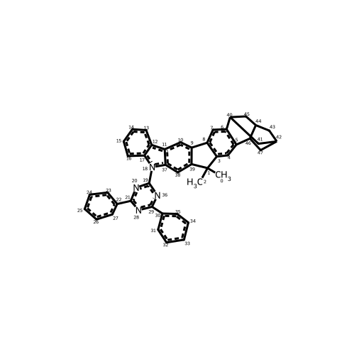 CC1(C)c2cc3c(cc2-c2cc4c5ccccc5n(-c5nc(-c6ccccc6)nc(-c6ccccc6)n5)c4cc21)C1CC2CC(C1)C3C2